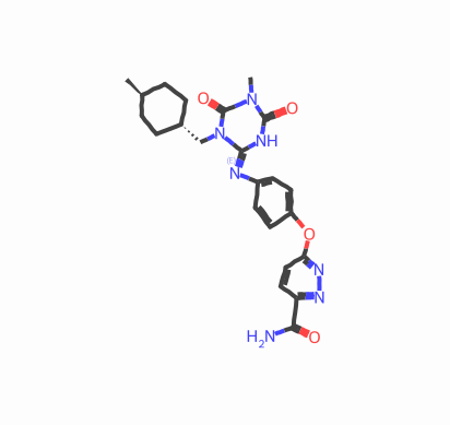 Cn1c(=O)[nH]/c(=N\c2ccc(Oc3ccc(C(N)=O)nn3)cc2)n(C[C@H]2CC[C@H](C)CC2)c1=O